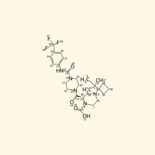 CC(C)(C)C1(N2CCN(C(=O)O)[C@@H](C(=O)N3CCN(C(=O)Nc4ccc(C(F)(F)F)cc4)CC3)C2)CCC1